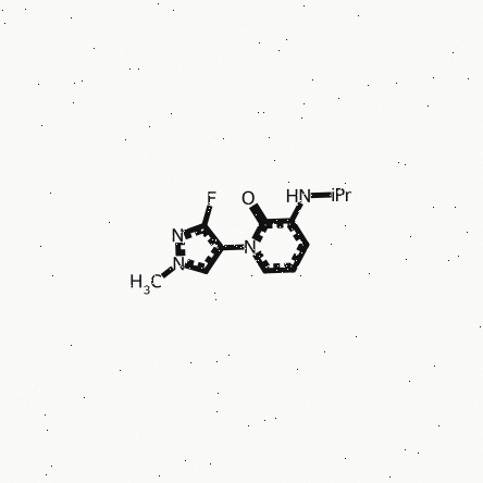 CC(C)Nc1cccn(-c2cn(C)nc2F)c1=O